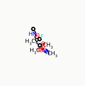 COc1cc(/C=C2\c3ccc(F)cc3C(CC(=O)NCc3ccccc3)C2C)cc(OC)c1OC(=O)N1CCN(C)CC1